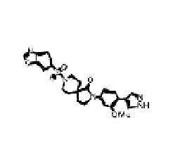 COc1cc(N2CCC3(CCN(S(=O)(=O)c4ccc5ncsc5c4)CC3)C2=O)ccc1-c1cn[nH]c1